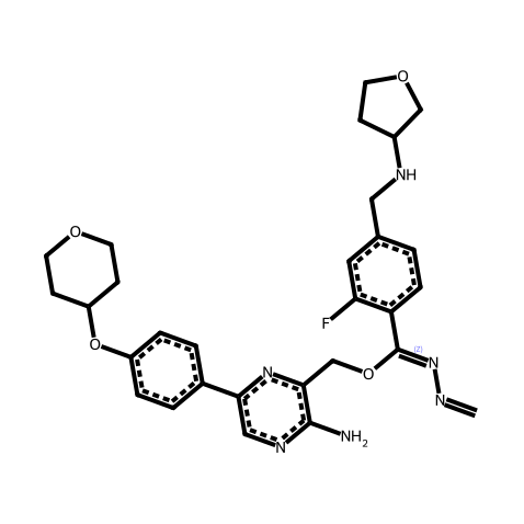 C=N/N=C(\OCc1nc(-c2ccc(OC3CCOCC3)cc2)cnc1N)c1ccc(CNC2CCOC2)cc1F